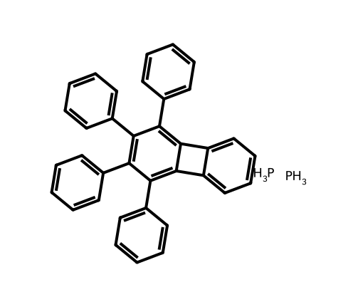 P.P.c1ccc(-c2c(-c3ccccc3)c(-c3ccccc3)c3c(c2-c2ccccc2)-c2ccccc2-3)cc1